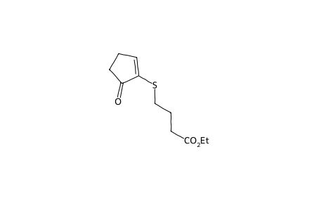 CCOC(=O)CCCSC1=CCCC1=O